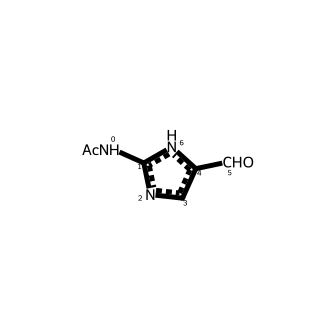 CC(=O)Nc1ncc(C=O)[nH]1